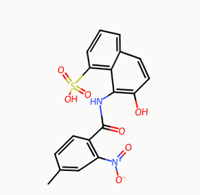 Cc1ccc(C(=O)Nc2c(O)ccc3cccc(S(=O)(=O)O)c23)c([N+](=O)[O-])c1